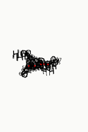 COc1ccc(CN(Cc2ccc(OC)cc2)S(=O)(=O)c2c(S(=O)(=O)NCC(O)CNC(=O)OC(C)(C)C)ccc(N3CC[C@H](NC(=O)O)[C@H](F)C3)c2-c2nnn(Cc3ccc(OC)cc3)n2)cc1